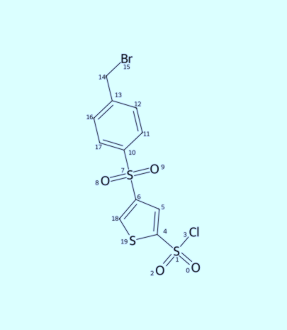 O=S(=O)(Cl)c1cc(S(=O)(=O)c2ccc(CBr)cc2)cs1